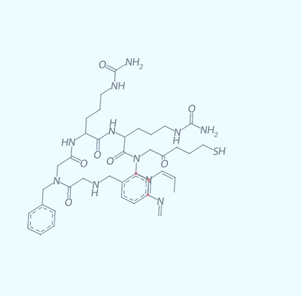 C=N/C=C(\C=C/C)CN(CC(=O)CCCS)C(=O)C(CCCNC(N)=O)NC(=O)C(CCCNC(N)=O)NC(=O)CN(Cc1ccccc1)C(=O)CNCc1cccnc1